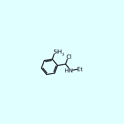 CCNC(Cl)c1ccccc1[SiH3]